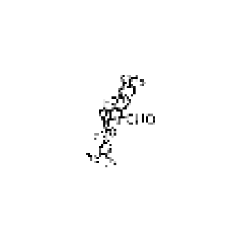 CC(C)Sc1cc(NC(=O)N2c3nc(C=O)c(CN4CCN(C)CC4=O)cc3C3(F)CC2C3)ncc1C#N